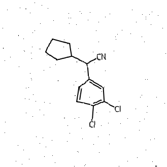 N#CC(c1ccc(Cl)c(Cl)c1)C1CCCC1